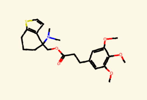 COc1cc(CCC(=O)OCC2(N(C)C)CCCc3sccc32)cc(OC)c1OC